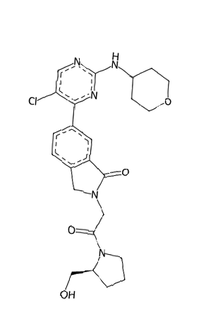 O=C1c2cc(-c3nc(NC4CCOCC4)ncc3Cl)ccc2CN1CC(=O)N1CCC[C@H]1CO